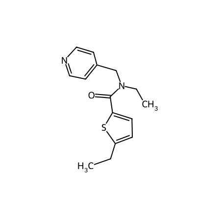 CCc1ccc(C(=O)N(CC)Cc2ccncc2)s1